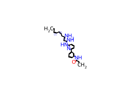 C=C/C=C\C=C/C/C(N)=C/C(=N)Nc1cccc(-c2cccc(NC(=O)C=C)c2)n1